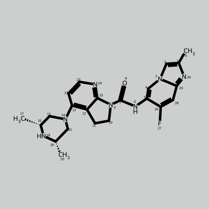 Cc1cn2cc(NC(=O)N3CCc4c(N5C[C@@H](C)N[C@@H](C)C5)ccnc43)c(F)cc2n1